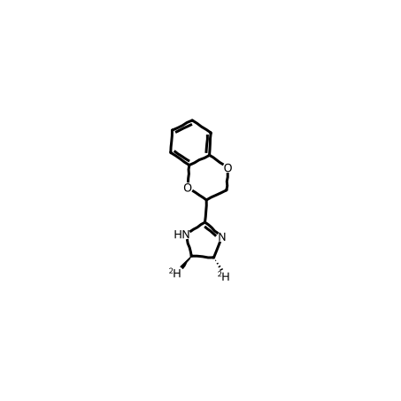 [2H][C@H]1N=C(C2COc3ccccc3O2)N[C@@H]1[2H]